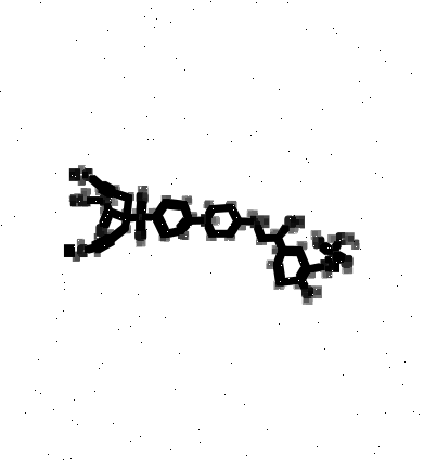 CC#CCC(CC#CC)(C(=O)OC(C)(C)C)S(=O)(=O)c1ccc(N2CCC(NC[C@@H](O)c3ccc(O)c(NS(C)(=O)=O)c3)CC2)cc1